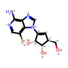 Nc1ncc(Br)c2c1ncn2C1=C[C@@H](CO)[C@H](O)[C@@H]1O